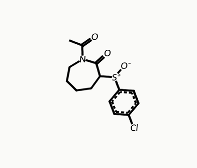 CC(=O)N1CCCCC([S+]([O-])c2ccc(Cl)cc2)C1=O